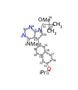 CNc1ncnc2c1c(-c1ccc3cc(OC(C)C)ccc3c1)cn2CC(C)(C)OC